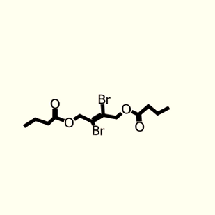 CCCC(=O)OC/C(Br)=C(\Br)COC(=O)CCC